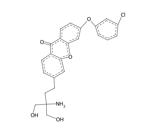 NC(CO)(CO)CCc1ccc2c(=O)c3ccc(Oc4cccc(Cl)c4)cc3oc2c1